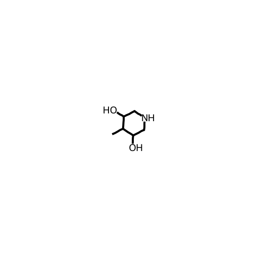 CC1C(O)CNCC1O